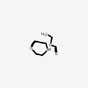 C1COCCN1.CCOC=O